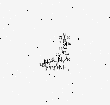 Cn1cc2cc(N)c(N3CCCC(CO[Si](C)(C)C(C)(C)C)C3)cc2n1